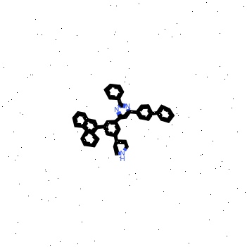 C1=CC(c2cc(-c3cc(-c4ccc(-c5ccccc5)cc4)nc(-c4ccccc4)n3)cc(-c3cc4ccccc4c4ccccc34)c2)=CCN1